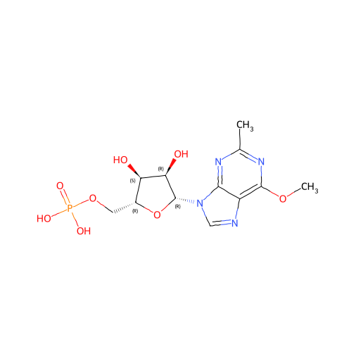 COc1nc(C)nc2c1ncn2[C@@H]1O[C@H](COP(=O)(O)O)[C@@H](O)[C@H]1O